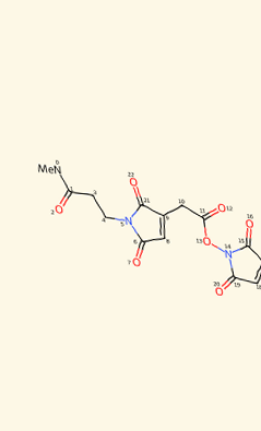 CNC(=O)CCN1C(=O)C=C(CC(=O)ON2C(=O)C=CC2=O)C1=O